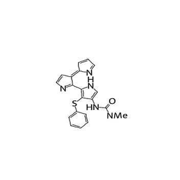 CNC(=O)Nc1c[nH]c(C2=NC=CC2=C2C=CC=N2)c1Sc1ccccc1